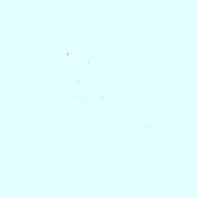 CCCCCCCCCCC(=O)NC(CSCC(O)CO)C(=O)Nc1cn([C@H]2OC(CO)[C@@H](O)[C@@H]2O)nn1